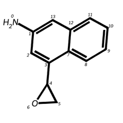 Nc1cc(C2CO2)c2ccccc2c1